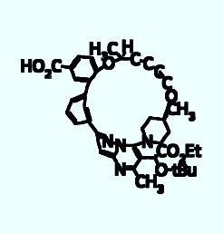 CCOC(=O)[C@@H](OC(C)(C)C)c1c(C)nc2cc3nn2c1N1CCC(C)(CC1)OCCCC[C@H](C)Oc1ccc(C(=O)O)cc1-c1cccc-3c1